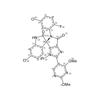 COc1ncc(-c2nc3c(n2C(C)C)[C@]2(C(=O)Nc4cc(Cl)ccc42)N(c2cc(Cl)ccc2F)C3=O)c(OC)n1